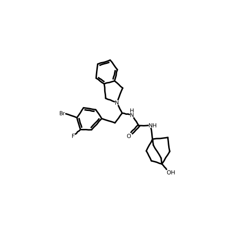 O=C(NC(Cc1ccc(Br)c(F)c1)N1Cc2ccccc2C1)NC12CCC(O)(CC1)CC2